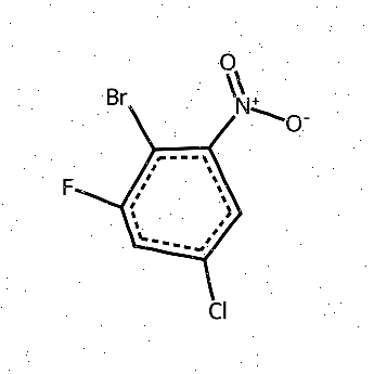 O=[N+]([O-])c1cc(Cl)cc(F)c1Br